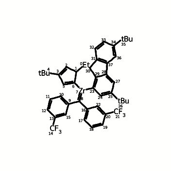 CCC1C=C(C(C)(C)C)C=[C]1[Zr](=[C](c1cccc(C(F)(F)F)c1)c1cccc(C(F)(F)F)c1)[c]1cc(C(C)(C)C)cc2c1Cc1ccc(C(C)(C)C)cc1-2